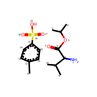 CC(C)OC(=O)C(N)C(C)C.Cc1ccc(S(=O)(=O)O)cc1